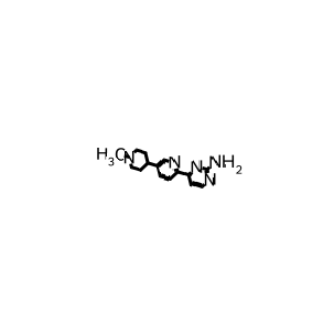 CN1CCC(c2ccc(-c3ccnc(N)n3)nc2)CC1